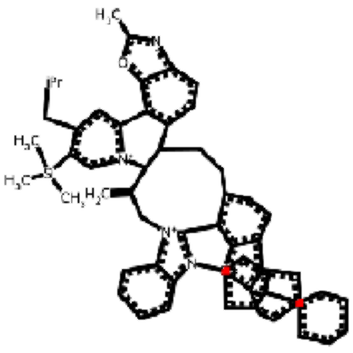 C=C1C[n+]2c(n(-c3ccc(-c4ccccc4)cc3)c3ccccc32)-c2c(ccc3c2oc2ccccc23)CCC2c3ccc4nc(C)oc4c3-c3cc(CC(C)C)c([Si](C)(C)C)c[n+]3C12